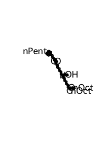 CCCCCCCCC(CCCCCCCC)OC(=O)CCCCCCCN(CCO)CCCCCCCC(=O)OCCCc1ccc(CCCCC)cc1